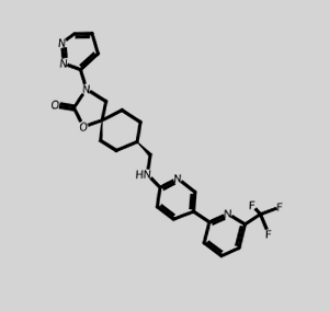 O=C1O[C@]2(CC[C@H](CNc3ccc(-c4cccc(C(F)(F)F)n4)cn3)CC2)CN1c1cccnn1